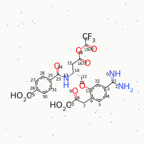 N=C(N)c1ccc(CC(=O)C(=O)O)c(OC[C@@H](CC(=O)OC(=O)C(F)(F)F)NC(=O)c2ccc(C(=O)O)cc2)c1